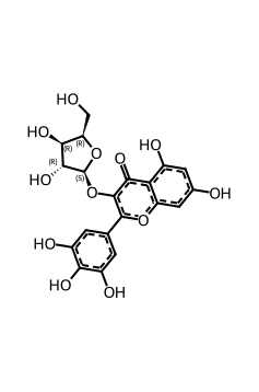 O=c1c(O[C@@H]2O[C@H](CO)[C@H](O)[C@H]2O)c(-c2cc(O)c(O)c(O)c2)oc2cc(O)cc(O)c12